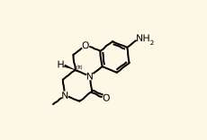 CN1CC(=O)N2c3ccc(N)cc3OC[C@H]2C1